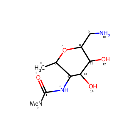 CNC(=O)NC1C(C)OC(CN)C(O)C1O